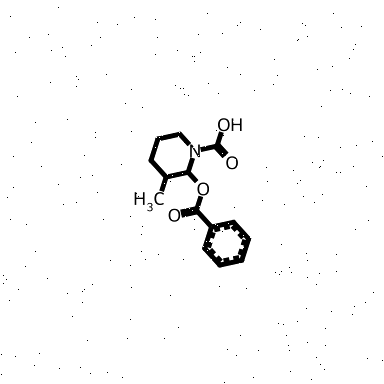 CC1CCCN(C(=O)O)C1OC(=O)c1ccccc1